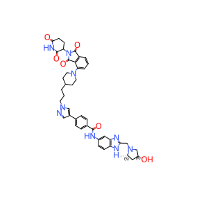 C[C@H]1C[C@@H](O)CN1Cc1nc2cc(NC(=O)c3ccc(-c4cnn(CCCC5CCN(c6cccc7c6C(=O)N(C6CCC(=O)NC6=O)C7=O)CC5)c4)cc3)ccc2[nH]1